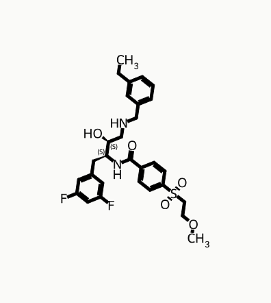 CCc1cccc(CNC[C@H](O)[C@H](Cc2cc(F)cc(F)c2)NC(=O)c2ccc(S(=O)(=O)CCOC)cc2)c1